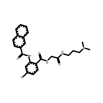 CN(C)CCCNC(=O)CNC(=O)c1ccc(Cl)cc1NC(=O)c1ccc2ccccc2c1